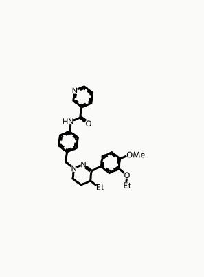 CCOc1cc(C2=NN(Cc3ccc(NC(=O)c4cccnc4)cc3)CCC2CC)ccc1OC